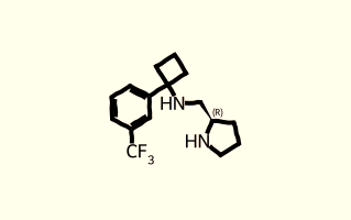 FC(F)(F)c1cccc(C2(NC[C@H]3CCCN3)CCC2)c1